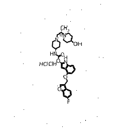 C[C@@H](CN1CCC(NC(=O)Oc2cc3c(OCc4coc5cc(F)ccc45)cccc3[nH]2)CC1)N1CCC(O)CC1.Cl.Cl